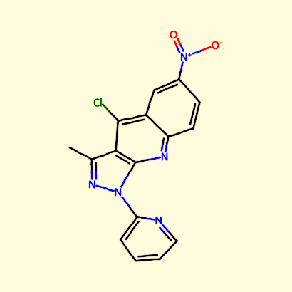 Cc1nn(-c2ccccn2)c2nc3ccc([N+](=O)[O-])cc3c(Cl)c12